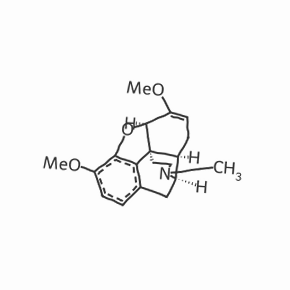 COC1=CC[C@H]2[C@H]3Cc4ccc(OC)c5c4[C@@]2(CCN3C)[C@H]1O5